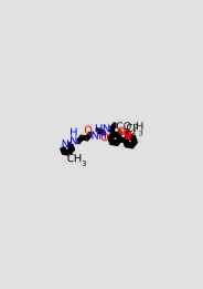 Cc1ccnc(NCCCC(=O)NCC(=O)NC(CC(=O)O)c2cccc(-c3ccccc3)c2OC(=O)C(F)(F)F)c1